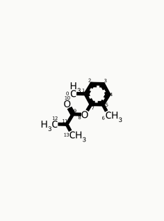 Cc1cccc(C)c1OC(=O)C(C)C